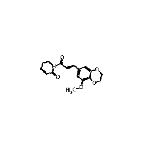 COc1cc(/C=C/C(=O)N2CCC=CC2=O)cc2c1OCCO2